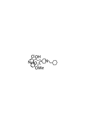 COc1ccc2ncc(Cl)c(C(O)CCC3(C(=O)O)CCN(CCC4CCCCC4)CC3)c2c1